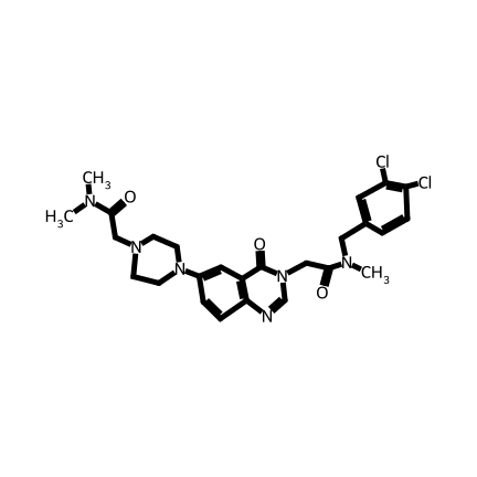 CN(C)C(=O)CN1CCN(c2ccc3ncn(CC(=O)N(C)Cc4ccc(Cl)c(Cl)c4)c(=O)c3c2)CC1